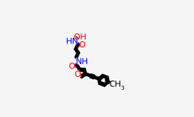 Cc1ccc(C#Cc2coc(C(=O)NCCCC(=O)NO)c2)cc1